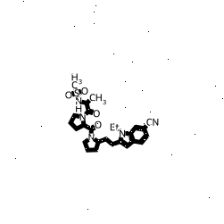 CCn1c(CCC2CCCN2C(=O)C2CCCN2C(=O)C(C)NS(C)(=O)=O)cc2ccc(C#N)cc21